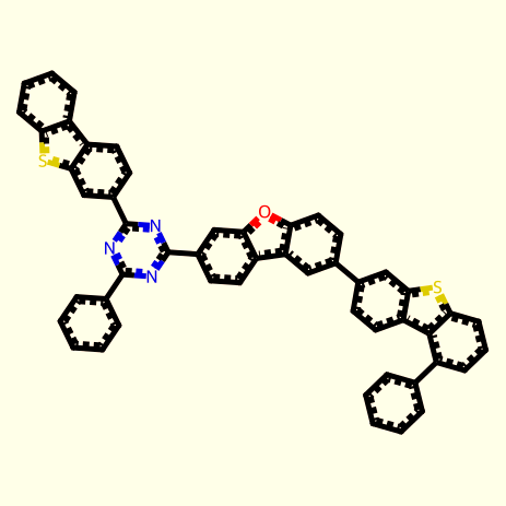 c1ccc(-c2nc(-c3ccc4c(c3)oc3ccc(-c5ccc6c(c5)sc5cccc(-c7ccccc7)c56)cc34)nc(-c3ccc4c(c3)sc3ccccc34)n2)cc1